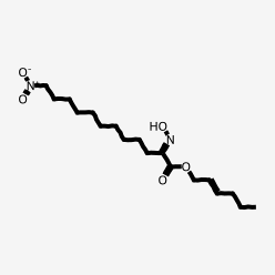 CCCC=CCOC(=O)C(CCCCCCCCCC[N+](=O)[O-])=NO